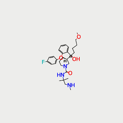 CNCC(C)(C)NC(=O)N1CCC[C@@H]([C@@](O)(CCCCOC)c2ccccc2Oc2ccc(F)cc2)C1